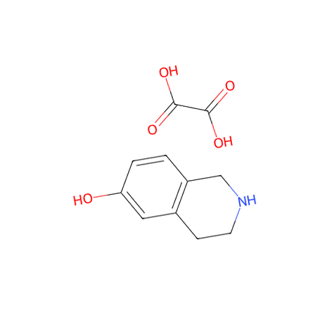 O=C(O)C(=O)O.Oc1ccc2c(c1)CCNC2